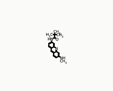 CNc1ccc2cc3ccc(NC(=O)C(C)(C)C)cc3nc2c1